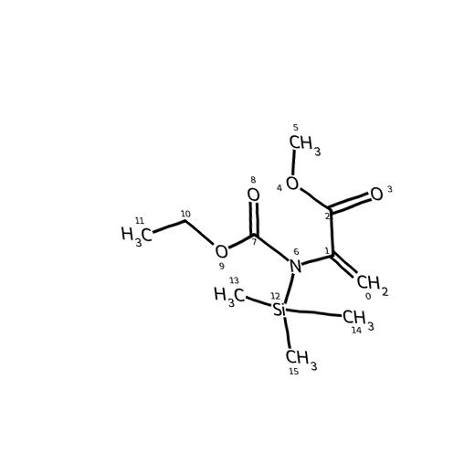 C=C(C(=O)OC)N(C(=O)OCC)[Si](C)(C)C